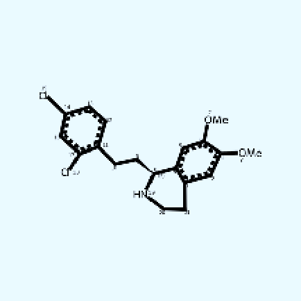 COc1cc2c(cc1OC)[C@H](CCc1ccc(Cl)cc1Cl)NCC2